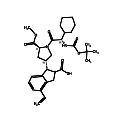 C=Cc1cccc2c1CN(C(=O)O)C2[C@@H]1C[C@@H](C(=O)OC)N(C(=O)[C@@H](NC(=O)OC(C)(C)C)C2CCCCC2)C1